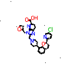 O=C(O)c1ccc2nc(CN3CCC(c4cccc5c4OC(c4ccc(Cl)cn4)C=C5)CC3)n(CC3CCO3)c2n1